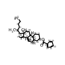 CC(C)CCC[C@@H](C)[C@H]1CC=C2C3=CC[C@@H]4C[C@@H](OC(=O)c5ccccc5)CC[C@]4(C)[C@H]3CC[C@@]21C